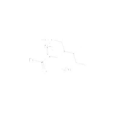 CCCCC(C)C(C)C(CC(=O)O)CN(N)C(=O)CC